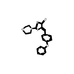 O=C1N=C(N2CCOCC2)SC1=Cc1ccc(Oc2ccccc2)cc1